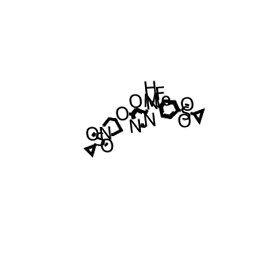 COc1c(Nc2ccc(S(=O)(=O)C3CC3)cc2F)ncnc1OC1CCN(S(=O)(=O)C2CC2)CC1